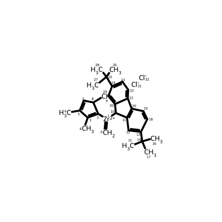 [CH2]=[Zr+2]([C]1=C(C)C(C)=CC1C)[CH]1c2cc(C(C)(C)C)ccc2-c2ccc(C(C)(C)C)cc21.[Cl-].[Cl-]